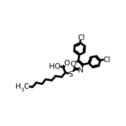 CCCCCCCCC(Sc1nc(-c2ccc(Cl)cc2)c(-c2ccc(Cl)cc2)o1)C(=O)O